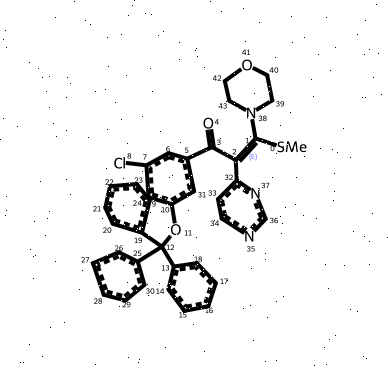 CS/C(=C(/C(=O)c1cc(Cl)cc(OC(c2ccccc2)(c2ccccc2)c2ccccc2)c1)c1ccncn1)N1CCOCC1